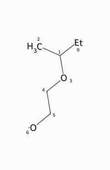 CCC(C)OCC[O]